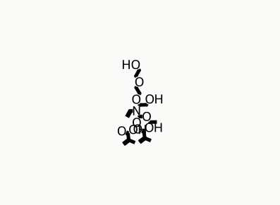 C=C(C)C(=O)O.C=C(C)C(=O)O.C=CN(C(=O)OCC)C(CO)OCCOCCO